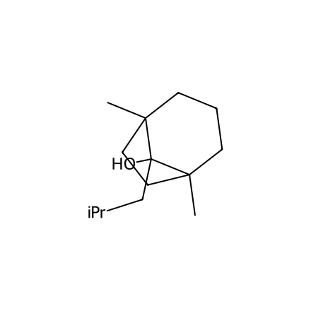 CC(C)CC1(O)C2(C)CCCC1(C)CC2